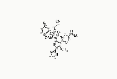 CCNC(=O)Cn1c(=O)c2c(C)c(-n3nccn3)sc2n(C[C@H](OCCC#N)c2cc(F)ccc2OC)c1=O